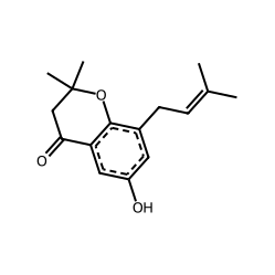 CC(C)=CCc1cc(O)cc2c1OC(C)(C)CC2=O